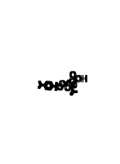 C=C(C)C(=O)OC(COC(=O)O)OOC(C)(C)c1ccc(C(C)C)cc1